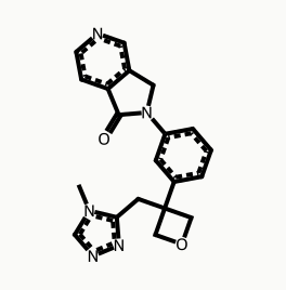 Cn1cnnc1CC1(c2cccc(N3Cc4cnccc4C3=O)c2)COC1